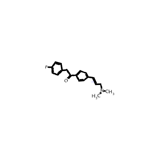 CN(C)C/C=C/c1ccc(C(=O)Cc2ccc(F)cc2)cc1